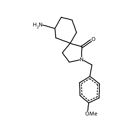 COc1ccc(CN2CCC3(CCCC(N)C3)C2=O)cc1